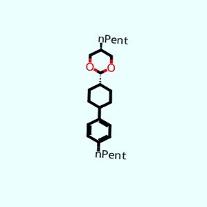 CCCCCc1ccc(C2CCC([C@H]3OC[C@H](CCCCC)CO3)CC2)cc1